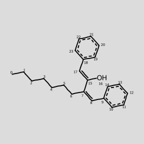 CCCCCCCC(=Cc1ccccc1)C(O)=Cc1ccccc1